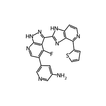 Nc1cncc(-c2cnc3[nH]nc(-c4nc5c(-c6cccs6)nccc5[nH]4)c3c2F)c1